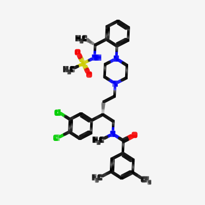 C[C@@H](NS(C)(=O)=O)c1ccccc1N1CCN(CC[C@H](CN(C)C(=O)c2cc(C(F)(F)F)cc(C(F)(F)F)c2)c2ccc(Cl)c(Cl)c2)CC1